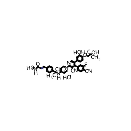 CC(C)(O)COc1ccc(-c2cnc(N3CCC(NC(C)(C)c4ccc(/C=C/C(=O)NO)cc4)CC3)c(C#N)c2-c2ccc(C#N)c(F)c2)cc1O.Cl